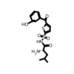 CC(C)C[C@H](N)C(=O)NS(=O)(=O)c1ccc(C(=O)c2cccc(O)c2)s1